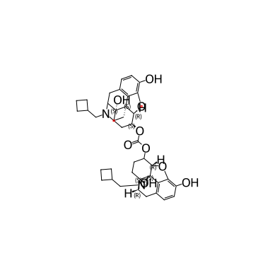 O=C(OC1CC[C@@]2(O)[C@H]3Cc4ccc(O)c5c4[C@@]2(CCN3CC2CCC2)[C@H]1O5)O[C@H]1CC[C@@]2(O)C3Cc4ccc(O)c5c4[C@@]2(CCN3CC2CCC2)[C@H]1O5